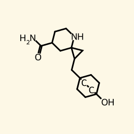 NC(=O)C1CCNC2(C1)CC2CC12CCC(O)(CC1)CC2